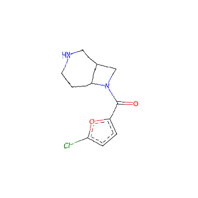 O=C(c1ccc(Cl)o1)N1CC2CNCCC21